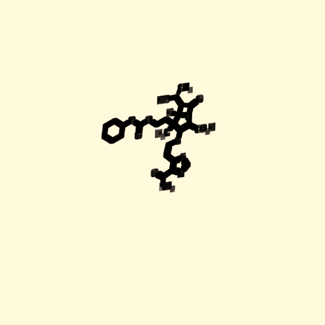 C[C@@H](O)[C@H]1C(=O)N2C(C(=O)O)=C(S/C=C\c3scnc3C(N)=O)C(C)(CCOC(=O)OC3CCCCC3)[C@H]12